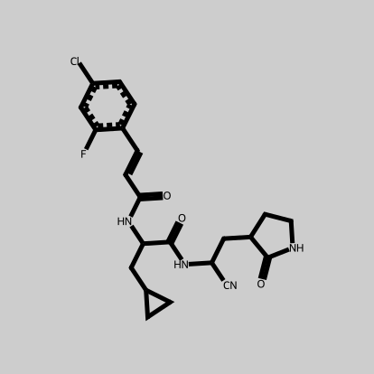 N#CC(CC1CCNC1=O)NC(=O)C(CC1CC1)NC(=O)/C=C/c1ccc(Cl)cc1F